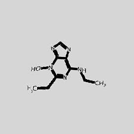 CCNc1nc(CC)n(O)c2ncnc1-2